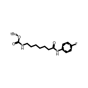 CC(C)(C)OC(=O)NCCCCCCC(=O)Nc1ccc(F)cc1